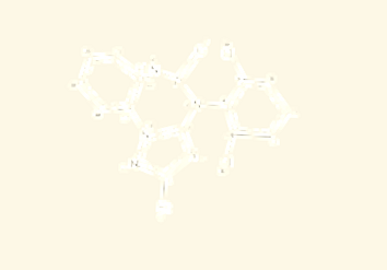 CCc1nc(N(C(N)=O)c2c(Cl)cccc2Cl)n(-c2ccccc2)n1